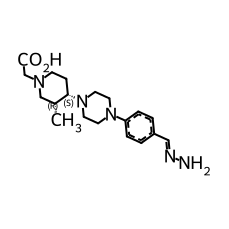 C[C@@H]1CN(CC(=O)O)CC[C@@H]1N1CCN(c2ccc(C=NN)cc2)CC1